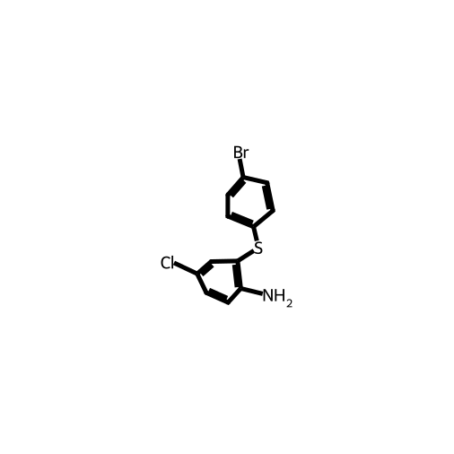 Nc1ccc(Cl)cc1Sc1ccc(Br)cc1